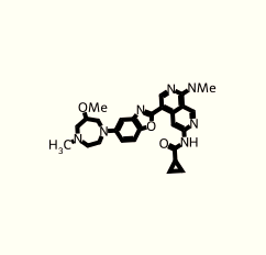 CNc1ncc(-c2nc3cc(N4CCN(C)CC(OC)C4)ccc3o2)c2cc(NC(=O)C3CC3)ncc12